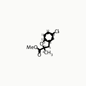 COC(=O)C1(C)Cc2cc(Cl)ccc2O1